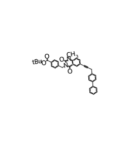 Cn1c(=O)n(Cc2ccc(C(=O)OC(C)(C)C)cc2)c(=O)c2cc(C#CCc3ccc(-c4ccccc4)cc3)ccc21